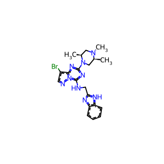 C[C@H]1CN(c2nc(NCc3nc4ccccc4[nH]3)n3ncc(Br)c3n2)[C@@H](C)CN1C